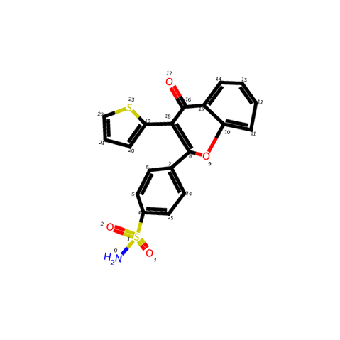 NS(=O)(=O)c1ccc(-c2oc3ccccc3c(=O)c2-c2cccs2)cc1